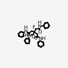 O=C(CC(CC(=O)Nc1ccccc1)(C(=O)Nc1ccccc1)C(F)C(=O)Nc1ccccc1)Nc1ccccc1